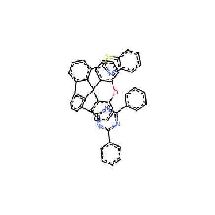 c1ccc(-c2nc(-c3ccccc3)nc(-c3cccc4c3C3(c5ccccc5Oc5ccccc53)c3c(-c5nc6ccccc6s5)cccc3-4)n2)cc1